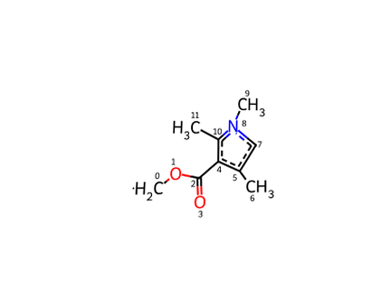 [CH2]OC(=O)c1c(C)cn(C)c1C